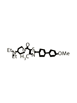 CCN(CC)C1CCN(C(=O)c2sc(-c3ccc(-c4ccc(OC)cc4)cc3)nc2C)CC1